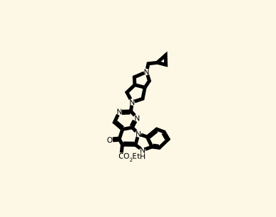 CCOC(=O)c1c(=O)c2cnc(N3CC4CN(CC5CC5)CC4C3)nc2n2c1[nH]c1ccccc12